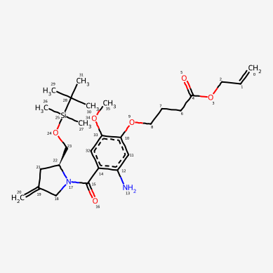 C=CCOC(=O)CCCOc1cc(N)c(C(=O)N2CC(=C)C[C@H]2CO[Si](C)(C)C(C)(C)C)cc1OC